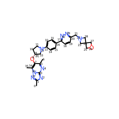 Cc1nc2nc(C)c(O[C@@H]3CCN(c4ccc(-c5ccc(CN6CC7(COC7)C6)nn5)cc4)C3)c(C)n2n1